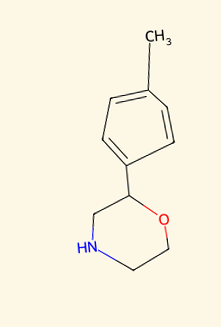 Cc1ccc(C2CNCCO2)cc1